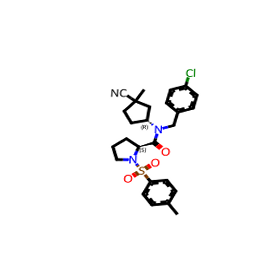 Cc1ccc(S(=O)(=O)N2CCC[C@H]2C(=O)N(Cc2ccc(Cl)cc2)[C@@H]2CCC(C)(C#N)C2)cc1